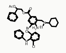 CCN(Cc1cc(C(=O)OCC(OC(C)=O)c2ccccc2)cc(Br)c1N)C1CCCCC1.Clc1cccc(Cl)c1Nc1ccccc1